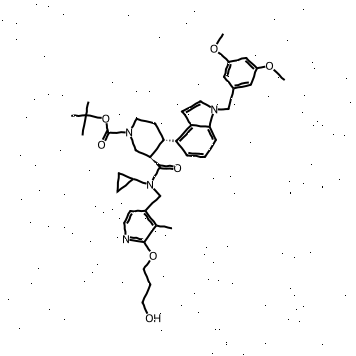 COc1cc(Cn2ccc3c([C@H]4CCN(C(=O)OC(C)(C)C)C[C@@H]4C(=O)N(Cc4ccnc(OCCCO)c4C)C4CC4)cccc32)cc(OC)c1